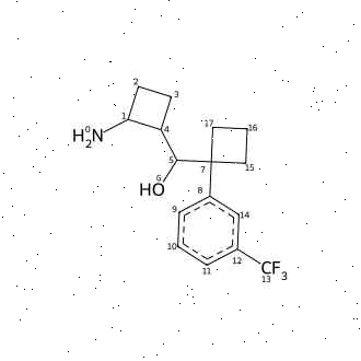 NC1CCC1C(O)C1(c2cccc(C(F)(F)F)c2)CCC1